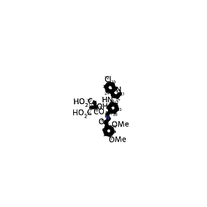 COc1ccc(C(=O)/C=C/c2cccc(Nc3ccnc4cc(Cl)ccc34)c2)c(OC)c1.O=C(O)CC(O)(CC(=O)O)C(=O)O